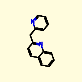 c1ccc(Cc2ccc3ccccc3n2)nc1